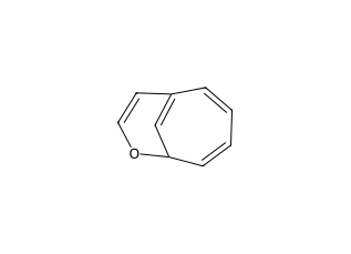 C1=CC2=CC(C=C1)OC=C2